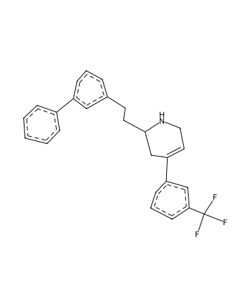 FC(F)(F)c1cccc(C2=CCNC(CCc3cccc(-c4ccccc4)c3)C2)c1